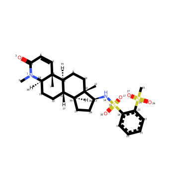 CN1C(=O)C=C[C@]2(C)[C@H]3CC[C@]4(C)[C@@H](NS(=O)(=O)c5ccccc5S(C)(=O)=O)CC[C@H]4[C@@H]3CC[C@@H]12